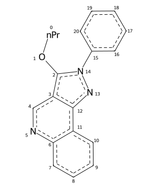 CCCOc1c2cnc3ccccc3c2nn1-c1ccccc1